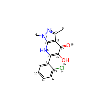 Cc1nn(C)c2[nH]c(-c3ccccc3Cl)c(O)c(=O)c12